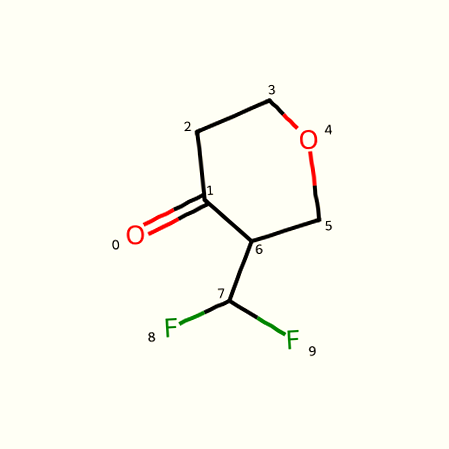 O=C1CCOCC1C(F)F